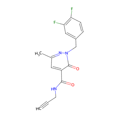 C#CCNC(=O)c1cc(C)nn(Cc2ccc(F)c(F)c2)c1=O